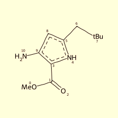 COC(=O)c1[nH]c(CC(C)(C)C)cc1N